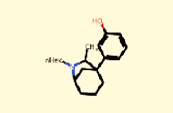 CCCCCCN1C2CCCC(c3cccc(O)c3)(C2)C1C